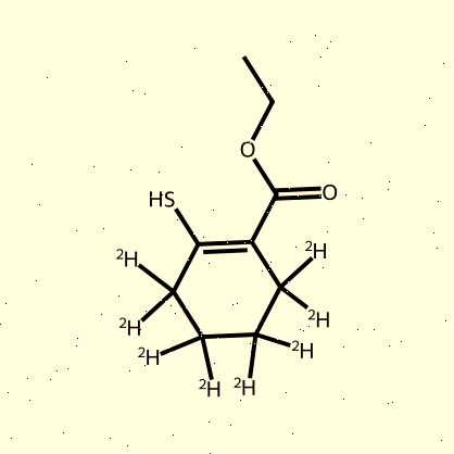 [2H]C1([2H])C(S)=C(C(=O)OCC)C([2H])([2H])C([2H])([2H])C1([2H])[2H]